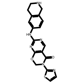 O=C1c2cnc(Nc3ccc4c(c3)CCNC4)nc2OCN1c1nccs1